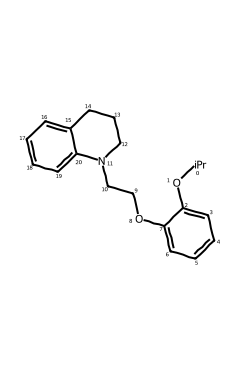 CC(C)Oc1ccccc1OCCN1CCCc2ccccc21